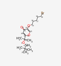 CC(C)(C)[SiH2]OC(C)(C)c1cc(=O)c(OCCCCCBr)co1